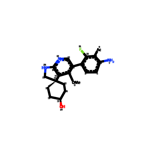 COc1c(-c2ccc(N)c(C(C)=O)c2F)cnc2c1[C@]1(CC[C@H](O)CC1)CN2